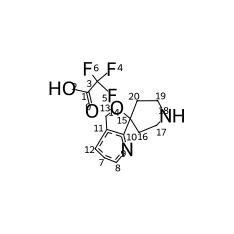 O=C(O)C(F)(F)F.c1cnc2c(c1)COC21CCNCC1